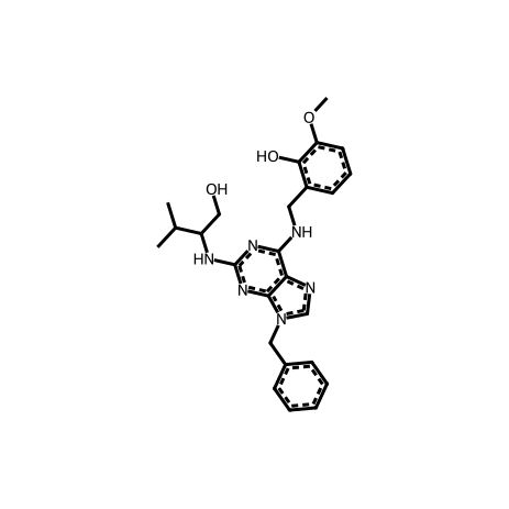 COc1cccc(CNc2nc(NC(CO)C(C)C)nc3c2ncn3Cc2ccccc2)c1O